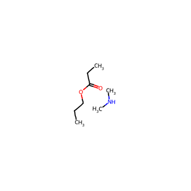 CCCOC(=O)CC.CNC